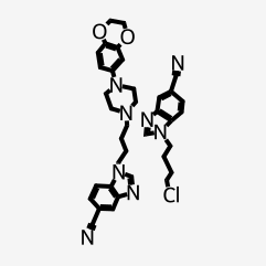 N#Cc1ccc2c(c1)ncn2CCCCCl.N#Cc1ccc2c(c1)ncn2CCCCN1CCN(c2ccc3c(c2)OCCO3)CC1